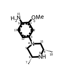 COc1cc(N2C[C@@H](C)N[C@@H](C)C2)ccc1N